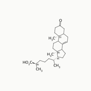 CC(CCC[C@@H](C)C(=O)O)[C@H]1CCC2C3=CCC4CC(=O)CC[C@]4(C)C3CC[C@@]21C